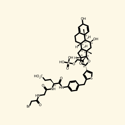 C[C@]12C=CC(O)C=C1CC[C@@H]1[C@@H]2[C@@H](O)C[C@@]2(C)[C@H]1C[C@H]1O[C@@H](c3csc(Cc4ccc(NC(=O)[C@H](CCC(=O)O)NC(=O)CNC(=O)CBr)cc4)c3)O[C@]12C(=O)COP(=O)(O)O